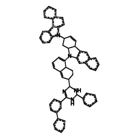 C1=CC2=CC(C3N=C(c4cccc(-c5ccccc5)c4)NC(c4ccccc4)N3)CCC2C(N2c3cc4ccccc4cc3C3C=CC(n4c5ccccc5c5c6ccccc6ccc54)CC32)=C1